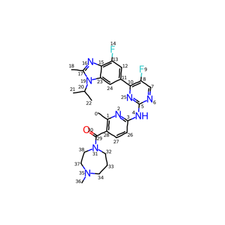 Cc1nc(Nc2ncc(F)c(-c3cc(F)c4nc(C)n(C(C)C)c4c3)n2)ccc1C(=O)N1CCCN(C)CC1